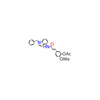 COc1ccc(C=CC(=O)Nc2cccc3c2ccn3Cc2ccccc2)cc1OC(C)=O